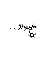 CCOC(=O)Cc1nc(NC(=O)c2cc(C(=O)C(C)C)cn2Cc2ccc(F)c(F)c2)sc1Cl